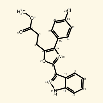 COC(=O)CCc1oc(-c2n[nH]c3ccccc23)nc1-c1ccc(Cl)cc1